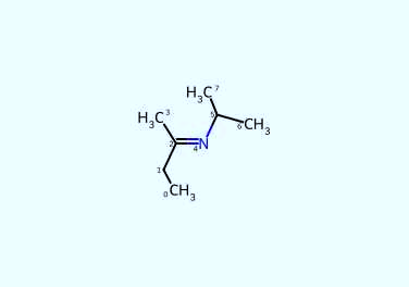 CCC(C)=NC(C)C